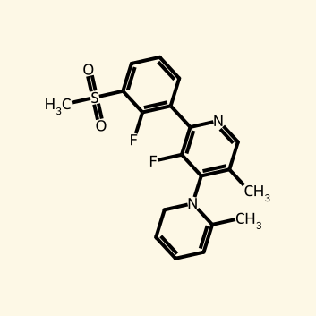 CC1=CC=CCN1c1c(C)cnc(-c2cccc(S(C)(=O)=O)c2F)c1F